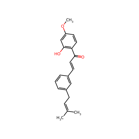 COc1ccc(C(=O)C=Cc2cccc(CC=C(C)C)c2)c(O)c1